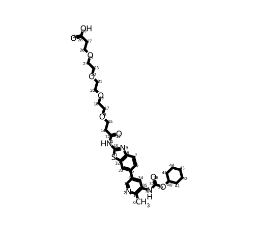 Cc1ncc(-c2ccc3nc(NC(=O)CCOCCOCCOCCOCCC(=O)O)sc3c2)cc1NC(=O)OC1CCCCC1